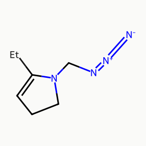 CCC1=CCCN1CN=[N+]=[N-]